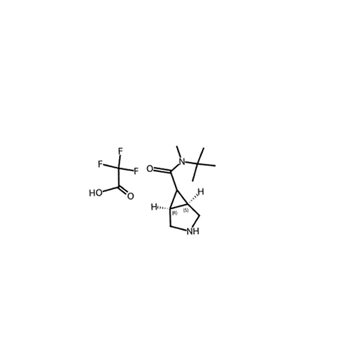 CN(C(=O)C1[C@H]2CNC[C@@H]12)C(C)(C)C.O=C(O)C(F)(F)F